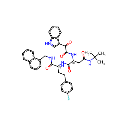 CC(C)(C)NC(=O)C[C@H](NC(=O)C(=O)c1c[nH]c2ccccc12)C(=O)N[C@@H](CCc1ccc(F)cc1)C(=O)NCc1cccc2ccccc12